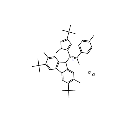 C/[C](c1ccc(C)cc1)=[Zr+2](/[C]1=CC(C(C)(C)C)=CC1C)[CH]1c2cc(C)c(C(C)(C)C)cc2-c2cc(C(C)(C)C)c(C)cc21.[Cl-].[Cl-]